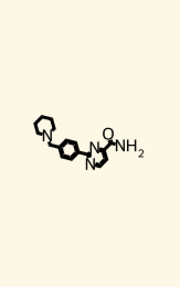 NC(=O)c1ccnc(-c2ccc(CN3CCCCC3)cc2)n1